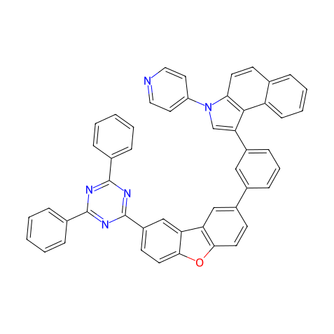 c1ccc(-c2nc(-c3ccccc3)nc(-c3ccc4oc5ccc(-c6cccc(-c7cn(-c8ccncc8)c8ccc9ccccc9c78)c6)cc5c4c3)n2)cc1